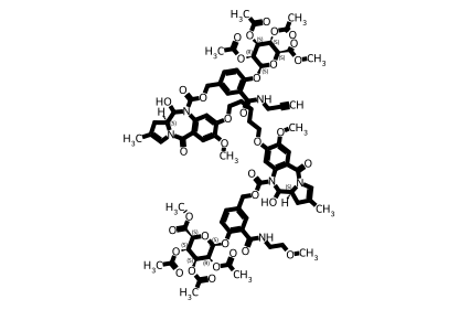 C#CCNC(=O)c1cc(COC(=O)N2c3cc(OCCCCCOc4cc5c(cc4OC)C(=O)N4C=C(C)C[C@H]4C(O)N5C(=O)OCc4ccc(O[C@@H]5O[C@H](C(=O)OC)[C@@H](OC(C)=O)[C@H](OC(C)=O)[C@H]5OC(C)=O)c(C(=O)NCCOC)c4)c(OC)cc3C(=O)N3C=C(C)C[C@H]3C2O)ccc1O[C@@H]1O[C@H](C(=O)OC)[C@@H](OC(C)=O)[C@H](OC(C)=O)[C@H]1OC(C)=O